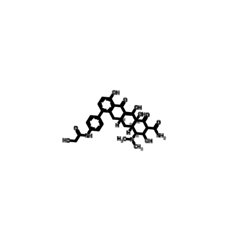 CN(C)[C@@H]1C(O)C(C(N)=O)C(=O)[C@@]2(O)C(O)=C3C(=O)c4c(O)ccc(-c5ccc(NC(=O)CO)cc5)c4C[C@H]3C[C@@H]12